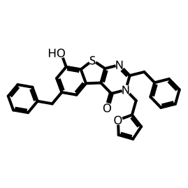 O=c1c2c(nc(Cc3ccccc3)n1Cc1ccco1)sc1c(O)cc(Cc3ccccc3)cc12